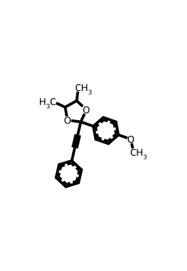 COc1ccc(C2(C#Cc3ccccc3)OC(C)C(C)O2)cc1